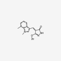 Cc1cccc2c(C=C3C(=O)NN=C3OC(C)C)cn(C)c12